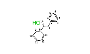 C(=C\c1ccccc1)/c1ccccc1.Cl